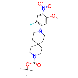 COc1cc(N2CCC3(CCN(C(=O)OC(C)(C)C)CC3)CC2)c(F)cc1[N+](=O)[O-]